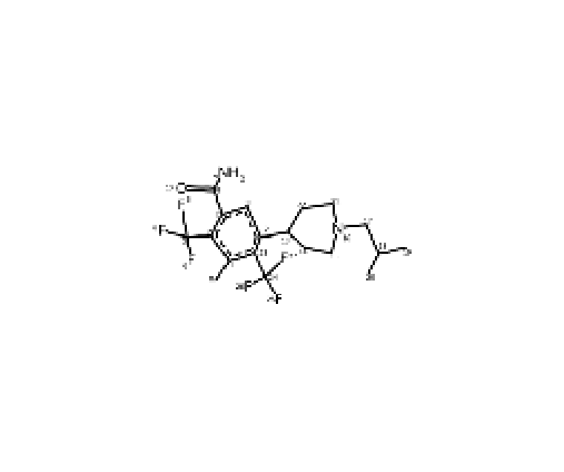 Cc1c(C(F)(F)F)c(C(N)=O)cc(C2CCN(CC(C)C)CC2)c1C(F)(F)F